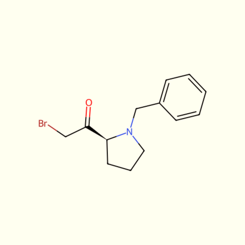 O=C(CBr)[C@@H]1CCCN1Cc1ccccc1